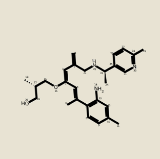 C=C(/C=C(\C=C(/C)c1ccc(C)cc1N)OC[C@@H](C)CO)CN[C@H](C)c1ccc(C)nc1